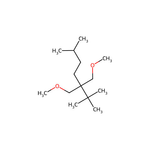 COCC(CCC(C)C)(COC)C(C)(C)C